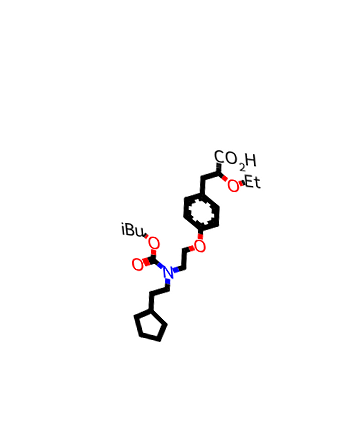 CCOC(Cc1ccc(OCCN(CCC2CCCC2)C(=O)OC(C)CC)cc1)C(=O)O